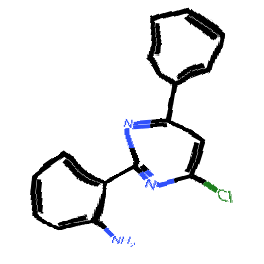 Nc1ccccc1-c1nc(Cl)cc(-c2ccccc2)n1